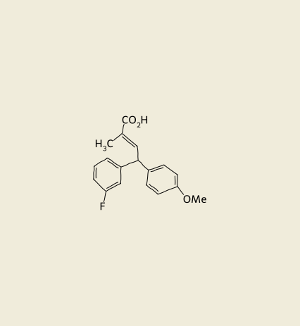 COc1ccc(C(C=C(C)C(=O)O)c2cccc(F)c2)cc1